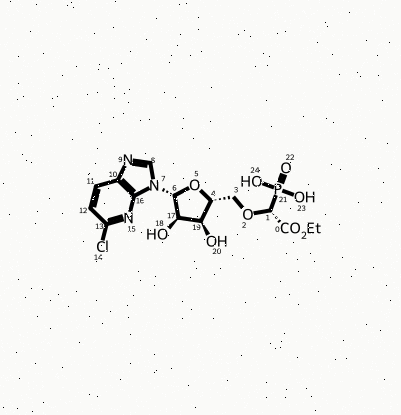 CCOC(=O)[C@H](OC[C@H]1O[C@@H](n2cnc3ccc(Cl)nc32)[C@H](O)[C@@H]1O)P(=O)(O)O